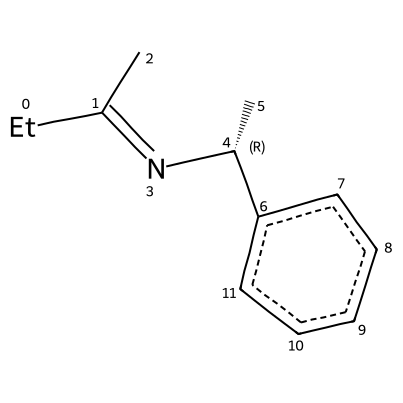 CCC(C)=N[C@H](C)c1ccccc1